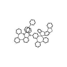 c1ccc(-c2cccc(N(c3ccc4c(c3)-c3ccccc3-c3ccccc3C43c4ccccc4-c4c3ccc3c4-c4ccccc4C3)c3cccc4c3N(c3ccccc3)c3ccccc3-c3ccccc3-4)c2)cc1